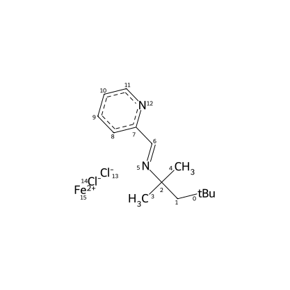 CC(C)(C)CC(C)(C)N=Cc1ccccn1.[Cl-].[Cl-].[Fe+2]